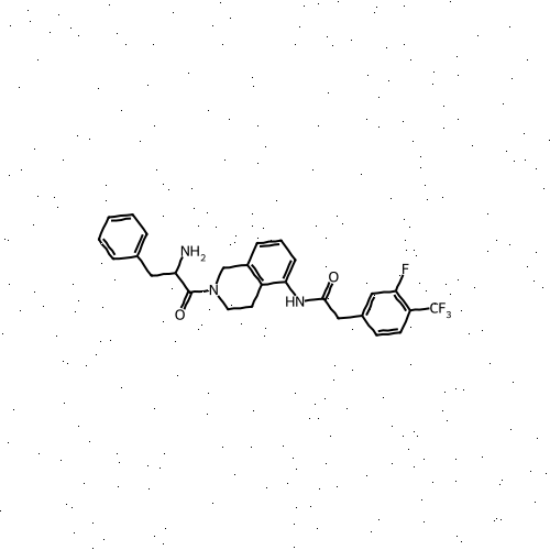 NC(Cc1ccccc1)C(=O)N1CCc2c(cccc2NC(=O)Cc2ccc(C(F)(F)F)c(F)c2)C1